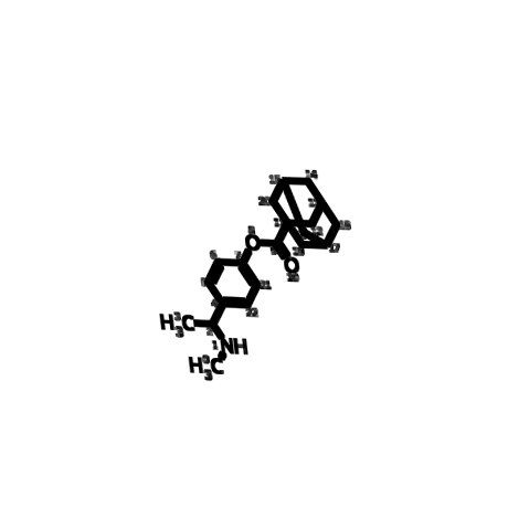 CNC(C)c1ccc(OC(=O)C23CC4CC(CC(C4)C2)C3)cc1